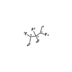 CC(F)C(F)(F)C(F)F